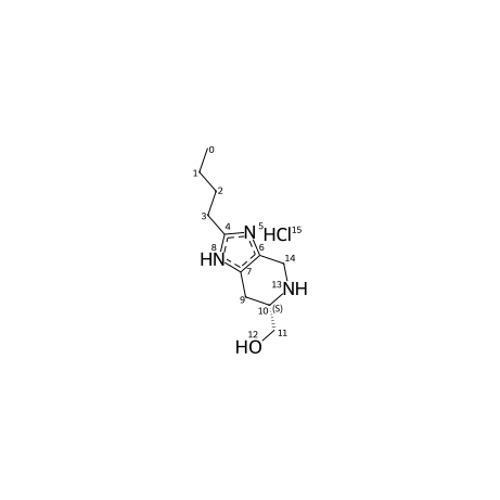 CCCCc1nc2c([nH]1)C[C@@H](CO)NC2.Cl